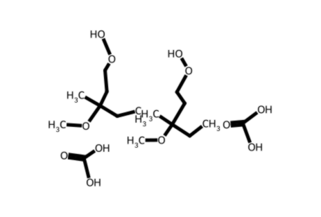 CCC(C)(CCOO)OC.CCC(C)(CCOO)OC.O=C(O)O.O=C(O)O